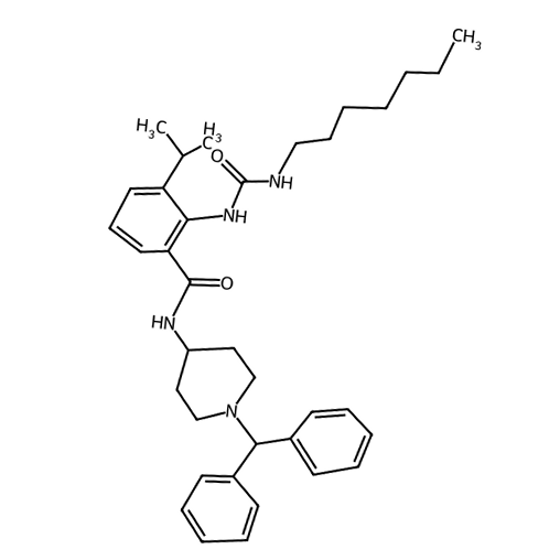 CCCCCCCNC(=O)Nc1c(C(=O)NC2CCN(C(c3ccccc3)c3ccccc3)CC2)cccc1C(C)C